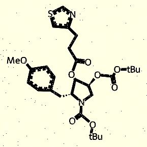 COc1ccc(C[C@@H]2C(OC(=O)CCc3cscn3)[C@@H](OC(=O)OC(C)(C)C)CN2C(=O)OC(C)(C)C)cc1